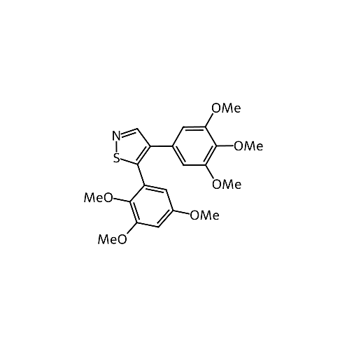 COc1cc(OC)c(OC)c(-c2sncc2-c2cc(OC)c(OC)c(OC)c2)c1